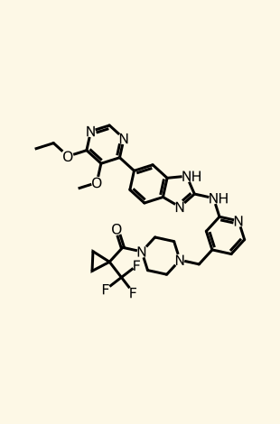 CCOc1ncnc(-c2ccc3nc(Nc4cc(CN5CCN(C(=O)C6(C(F)(F)F)CC6)CC5)ccn4)[nH]c3c2)c1OC